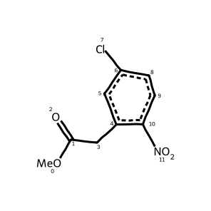 COC(=O)Cc1cc(Cl)ccc1[N+](=O)[O-]